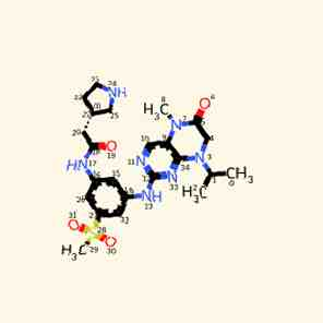 CC(C)N1CC(=O)N(C)c2cnc(Nc3cc(NC(=O)C[C@@H]4CCNC4)cc(S(C)(=O)=O)c3)nc21